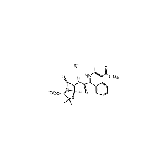 COC(=O)C=C(C)NC(C(=O)N[C@@H]1C(=O)N2[C@@H]1SC(C)(C)[C@@H]2C(=O)[O-])c1ccccc1.[K+]